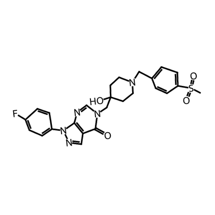 CS(=O)(=O)c1ccc(CN2CCC(O)(Cn3cnc4c(cnn4-c4ccc(F)cc4)c3=O)CC2)cc1